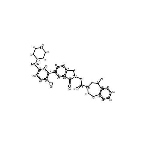 CC1CN(C(=O)CN2Cc3ccc(-c4nc(NC5CCOCC5)ncc4Cl)cc3C2=O)CCc2ccccc21